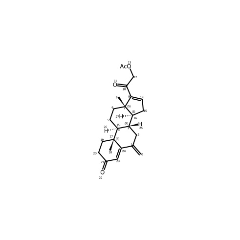 C=C1C[C@@H]2[C@H](CC[C@]3(C)C(C(=O)COC(C)=O)=CC[C@@H]23)[C@@]2(C)CCC(=O)C=C12